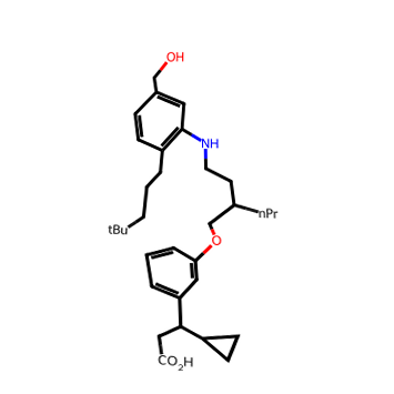 CCCC(CCNc1cc(CO)ccc1CCCC(C)(C)C)COc1cccc(C(CC(=O)O)C2CC2)c1